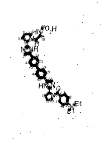 CCN(CC)C1CCC(C(=O)N2CCC[C@H]2c2ncc(-c3ccc(-c4ccc(-c5cnc([C@@H]6CCCN6C(=O)[C@H](C)NC(=O)O)[nH]5)cc4)cc3)[nH]2)CC1